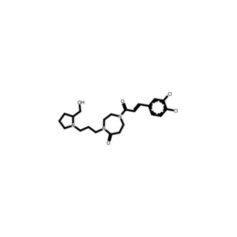 O=C(C=Cc1ccc(Cl)c(Cl)c1)N1CCC(=O)N(CCCN2CCCC2CO)CC1